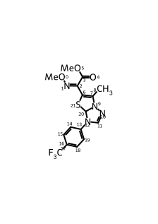 CON=C(C(=O)OC)C1=C(C)N2N=CN(c3ccc(C(F)(F)F)cc3)C2S1